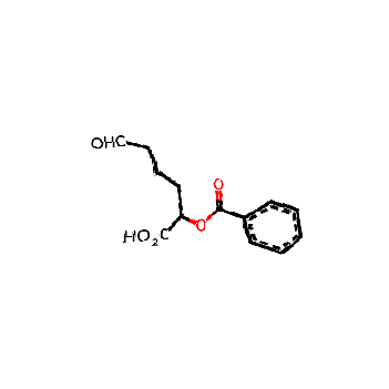 O=CCCCC(OC(=O)c1ccccc1)C(=O)O